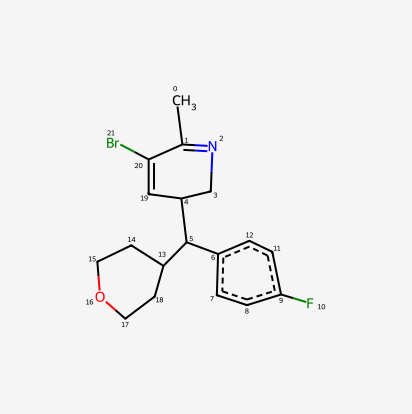 CC1=NCC(C(c2ccc(F)cc2)C2CCOCC2)C=C1Br